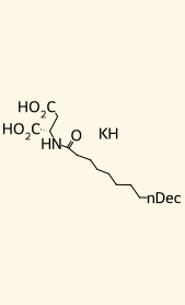 CCCCCCCCCCCCCCCCCC(=O)N[C@@H](CC(=O)O)C(=O)O.[KH]